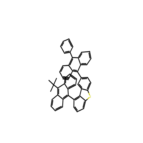 CC(C)(C)c1c2ccccc2c(-c2cccc3sc4ccc(-c5c6c#cccc6c(-c6ccccc6)c6ccccc56)cc4c23)c2ccccc12